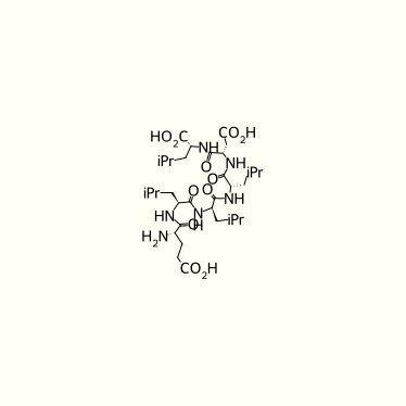 CC(C)C[C@H](NC(=O)[C@@H](N)CCC(=O)O)C(=O)N[C@H](CC(C)C)C(=O)N[C@@H](CC(C)C)C(=O)N[C@@H](CC(=O)O)C(=O)N[C@H](CC(C)C)C(=O)O